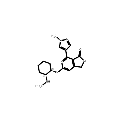 Cn1cc(-c2nc(N[C@@H]3CCCC[C@@H]3NC(=O)O)cc3c2C(=O)NC3)cn1